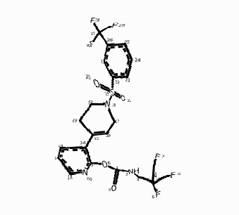 O=C(NCC(F)(F)F)Oc1ncccc1C1=CCN(S(=O)(=O)c2cccc(C(F)(F)F)c2)CC1